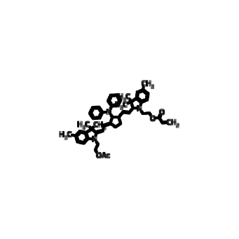 C=CC(=O)OCCN1c2ccc(C)cc2C(C)(C)C1/C=C/C1CC/C(=C\C=C2\N(CCOC(C)=O)c3ccc(C)cc3C2(C)C)C1N(c1ccccc1)c1ccccc1